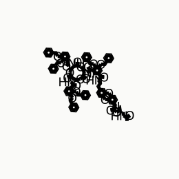 CC(=O)NC[C@H]1CN(c2ccc3c(c2)Oc2ccc(CCNC(=O)c4cc(OCc5ccccc5)c(OCc5ccccc5)c(C(=O)NC5COC(=O)[C@@H](NC(=O)c6cccc(OCc7ccccc7)c6OCc6ccccc6)COC(=O)[C@@H](NC(=O)c6cccc(OCc7ccccc7)c6OCc6ccccc6)COC5=O)c4)cc2O3)C(=O)O1